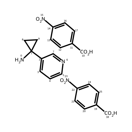 NC1(c2cccnc2)CC1.O=C(O)c1ccc([N+](=O)[O-])cc1.O=C(O)c1ccc([N+](=O)[O-])cc1